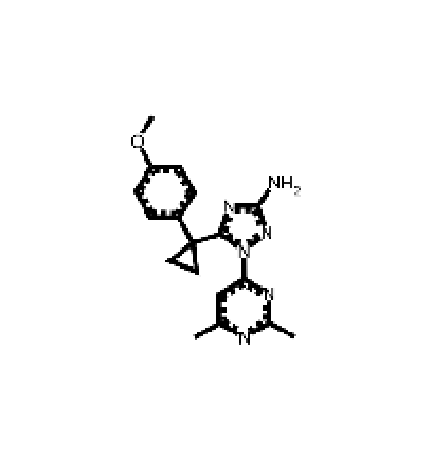 COc1ccc(C2(c3nc(N)nn3-c3cc(C)nc(C)n3)CC2)cc1